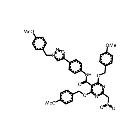 COc1ccc(COc2nc(C[SH](=O)=O)nc(OCc3ccc(OC)cc3)c2C(=O)Nc2ccc(-c3cn(Cc4ccc(OC)cc4)nn3)cc2)cc1